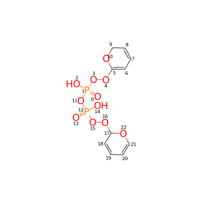 O=P(O)(OOC1=CC=CCO1)OP(=O)(O)OOC1C=CC=CO1